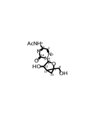 CC(=O)Nc1cnn([C@@H]2OC3(CO)CC3C2O)c(=O)n1